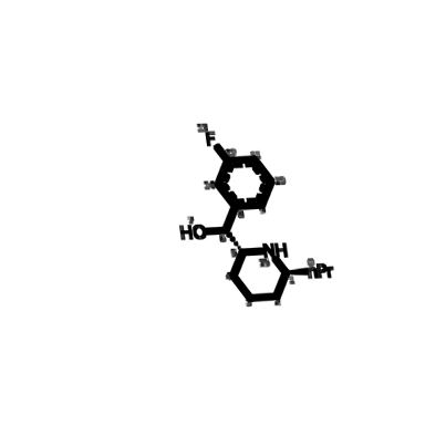 CCC[C@H]1CCC[C@H](C(O)c2cccc(F)c2)N1